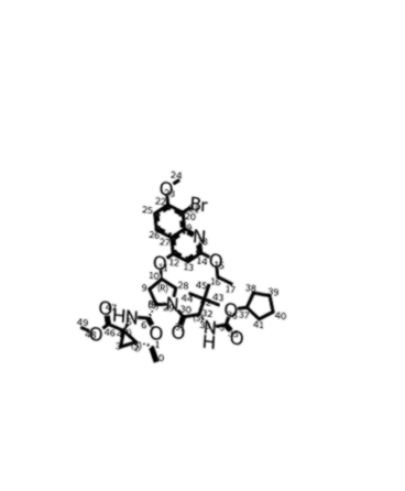 C=C[C@@H]1C[C@]1(NC(=O)[C@@H]1C[C@@H](Oc2cc(OCC)nc3c(Br)c(OC)ccc23)CN1C(=O)[C@@H](NC(=O)OC1CCCC1)C(C)(C)C)C(=O)OC